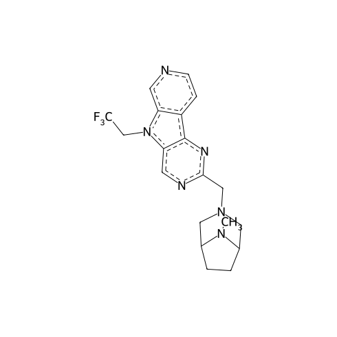 CN1C2CCC1CN(Cc1ncc3c(n1)c1ccncc1n3CC(F)(F)F)C2